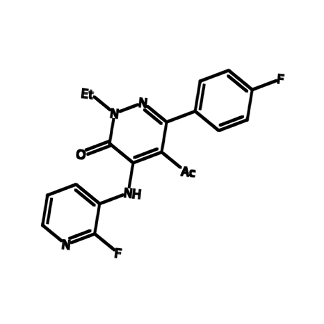 CCn1nc(-c2ccc(F)cc2)c(C(C)=O)c(Nc2cccnc2F)c1=O